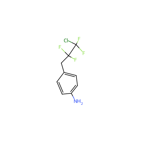 Nc1ccc(CC(F)(F)C(F)(F)Cl)cc1